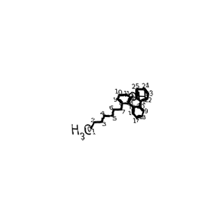 CCCCCCCCc1cccc(O)c1-c1ccccc1-c1ccccc1